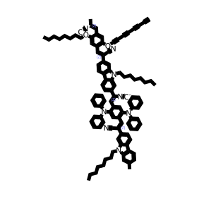 [C-]#[N+]/C(C)=C\c1cc(OC#CC#CC#CC#C)c(/C=C(\C#N)c2ccc3c4ccc(/C(=C/c5cc(N(c6ccccc6)c6ccccc6)c(/C=C(\C#N)c6ccc7c8ccc(C)cc8n(CCCCCCCC)c7c6)cc5N(c5ccccc5)c5ccccc5)[N+]#[C-])cc4n(CCCCCCCC)c3c2)cc1OCCCCCCCC